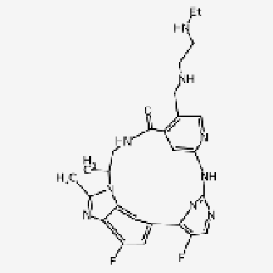 CCNCCNCc1cnc2cc1C(=O)NCC(C)n1c(C)nc3c(F)cc(cc31)-c1nc(ncc1F)N2